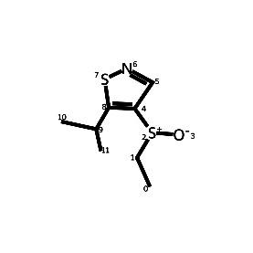 CC[S+]([O-])c1cnsc1C(C)C